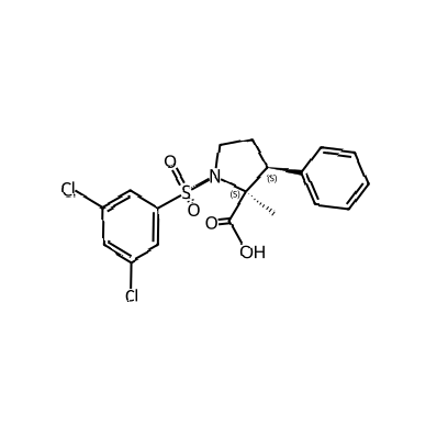 C[C@@]1(C(=O)O)[C@H](c2ccccc2)CCN1S(=O)(=O)c1cc(Cl)cc(Cl)c1